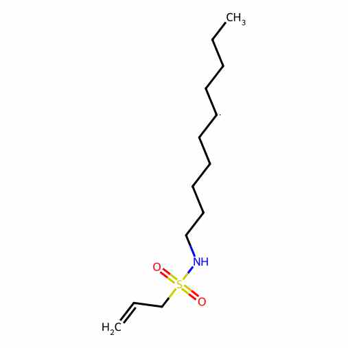 C=CCS(=O)(=O)NCCCCC[CH]CCCC